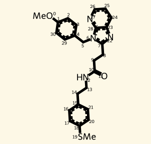 COc1ccc(Cn2c(CCC(=O)NCCc3ccc(SC)cc3)nc3cccnc32)cc1